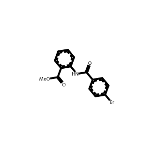 COC(=O)c1ccccc1NC(=O)c1ccc(Br)cc1